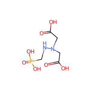 O=C(O)CN(CC(=O)O)NCP(=O)(O)O